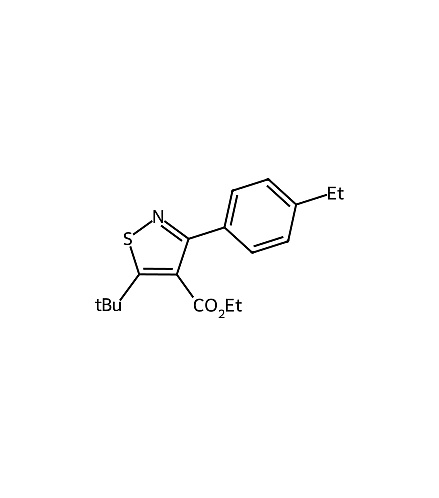 CCOC(=O)c1c(-c2ccc(CC)cc2)nsc1C(C)(C)C